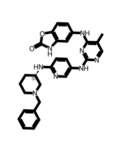 Cc1cnc(Nc2ccc(N[C@H]3CCCN(Cc4ccccc4)C3)nc2)nc1Nc1ccc2oc(=O)[nH]c2c1